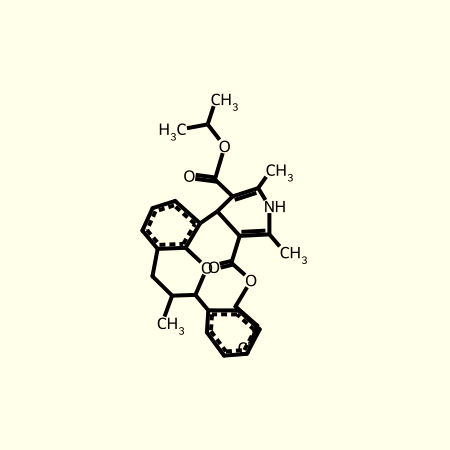 CC1=C(C(=O)OCCCl)C(c2cccc3c2OC(c2ccccc2)C(C)C3)C(C(=O)OC(C)C)=C(C)N1